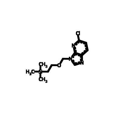 C[Si](C)(C)CCOCn1cnc2ccc(Cl)nc21